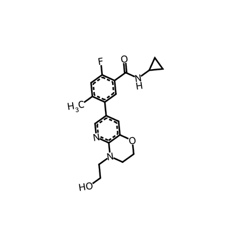 Cc1cc(F)c(C(=O)NC2CC2)cc1-c1cnc2c(c1)OCCN2CCO